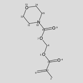 C=C(C)C(=O)OCOC(=O)N1CCOCC1